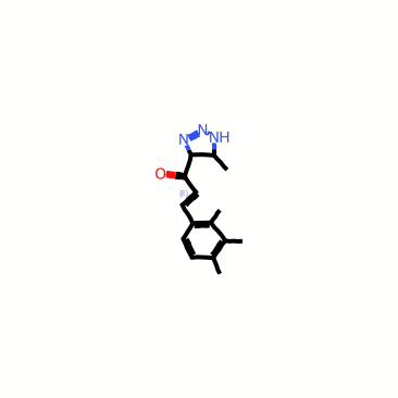 Cc1ccc(/C=C/C(=O)C2N=NNC2C)c(C)c1C